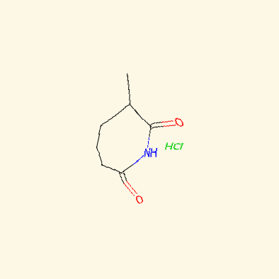 CC1CCCC(=O)NC1=O.Cl